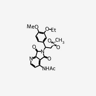 CCOc1cc(C(CS(C)(=O)=O)N2C(=O)c3nccc(NC(C)=O)c3C2=O)ccc1OC